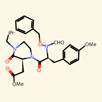 COC(=O)C[C@H]1C(=O)N(C[C](C)C)CCN1C(=O)[C@H](Cc1ccc(OC)cc1)N(C=O)OCc1ccccc1